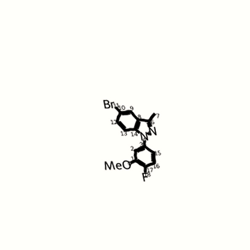 COc1cc(-n2nc(C)c3cc(Br)ccc32)ccc1F